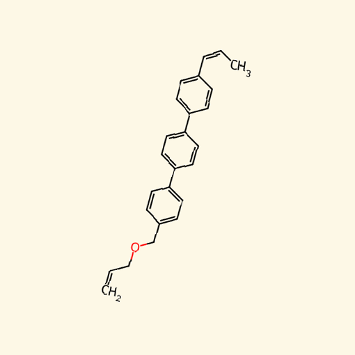 C=CCOCc1ccc(-c2ccc(-c3ccc(/C=C\C)cc3)cc2)cc1